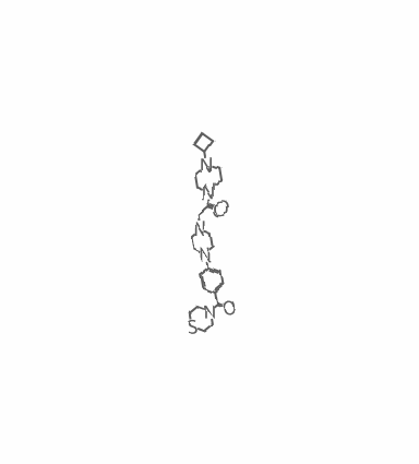 O=C(CN1CCN(c2ccc(C(=O)N3CCSCC3)cc2)CC1)N1CCN(C2CCC2)CC1